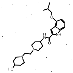 CC(C)COc1cccc2[nH]c(C(=O)NC3CCN(CCN4CCC(O)CC4)CC3)cc12